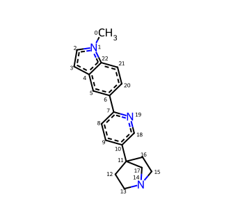 Cn1ccc2cc(-c3ccc(C45CCN(CC4)C5)cn3)ccc21